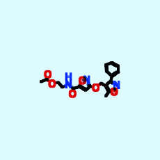 CC(=O)OCCNC(=O)c1cc(OCc2c(-c3ccccc3)noc2C)no1